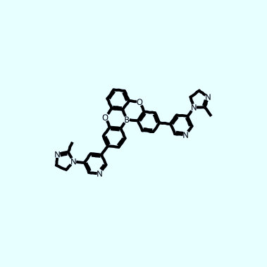 CC1=NCCN1c1cncc(-c2ccc3c(c2)Oc2cccc4c2B3c2ccc(-c3cncc(N5CCN=C5C)c3)cc2O4)c1